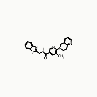 Cc1cc(C(=O)NCc2nc3ccccc3s2)cnc1N1CCc2ncccc2C1